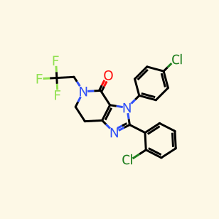 O=C1c2c(nc(-c3ccccc3Cl)n2-c2ccc(Cl)cc2)CCN1CC(F)(F)F